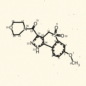 COc1ccc2c(c1)S(=O)(=O)Cc1c(C(=O)N3CCOCC3)n[nH]c1-2